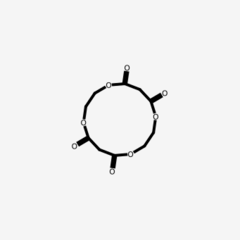 O=C1CC(=O)OCCOC(=O)CC(=O)OCCO1